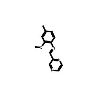 COc1cc(C)ccc1N=Cc1cnccn1